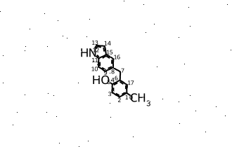 Cc1ccc(O)c(Cc2ccc3[nH]ccc3c2)c1